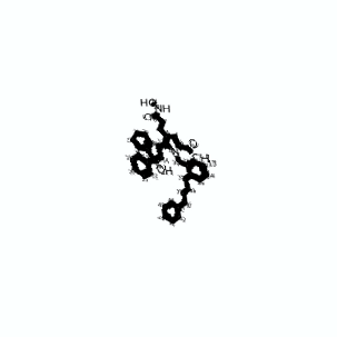 CC(=O)c1cc(CCC(=O)NO)c(CCC(O)(c2ccccc2)c2ccccc2)n1Cc1ccccc1CCCCc1ccccc1